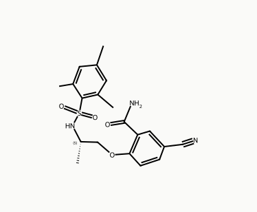 Cc1cc(C)c(S(=O)(=O)N[C@@H](C)COc2ccc(C#N)cc2C(N)=O)c(C)c1